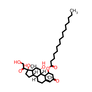 CCCCCCCCCCCCCCCC(=O)OC1CC(=O)C=C2CC[C@@H]3[C@H]([C@@H](O)C[C@@]4(C)[C@H]3CC[C@]4(O)C(=O)CO)[C@]21C